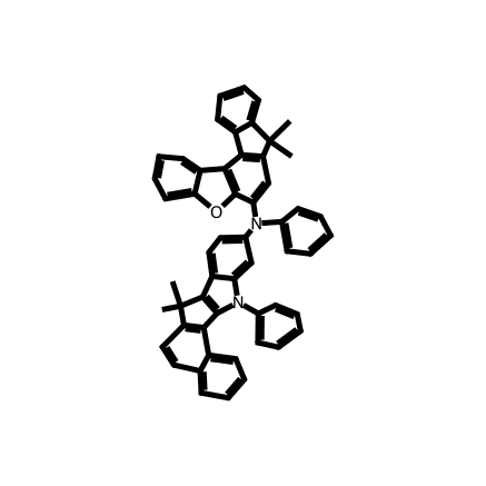 CC1(C)c2ccccc2-c2c1cc(N(c1ccccc1)c1ccc3c4c(n(-c5ccccc5)c3c1)-c1c(ccc3ccccc13)C4(C)C)c1oc3ccccc3c21